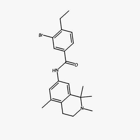 CCc1ccc(C(=O)Nc2cc(C)c3c(c2)C(C)(C)N(C)CC3)cc1Br